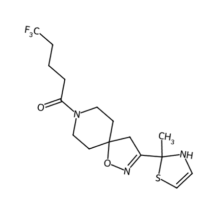 CC1(C2=NOC3(CCN(C(=O)CCCC(F)(F)F)CC3)C2)NC=CS1